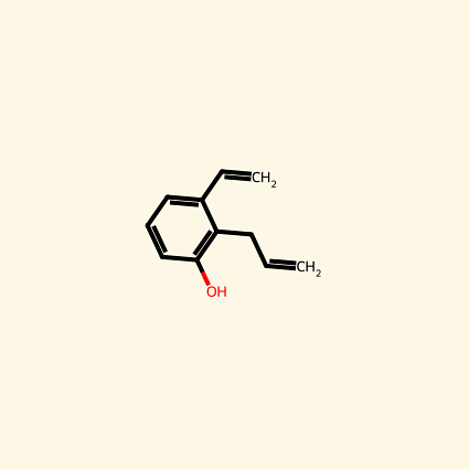 C=CCc1c(O)cccc1C=C